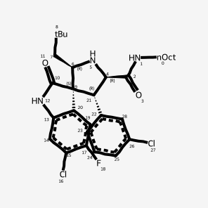 CCCCCCCCNC(=O)[C@@H]1N[C@H](CC(C)(C)C)[C@]2(C(=O)Nc3cc(Cl)c(F)cc32)[C@H]1c1cccc(Cl)c1